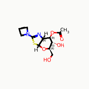 CC(=O)O[C@H]1[C@H](O)[C@@H](CO)O[C@@H]2SC(N3CCC3)=N[C@H]12